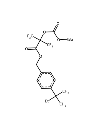 CCC(C)(C)c1ccc(COC(=O)C(OC(=O)OC(C)(C)C)(C(F)(F)F)C(F)(F)F)cc1